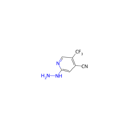 N#Cc1cc(NN)ncc1C(F)(F)F